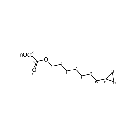 CCCCCCCCC(=O)OCCCCCCCC1CC1